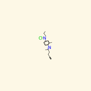 C#CCC/C(C)=N/c1ccc(N(Cl)CCC)cc1C